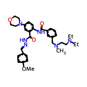 CCN(CC)CCN(C)Cc1cccc(C(=O)Nc2ccc(N3CCOCC3)cc2C(=O)N/N=C/c2ccc(OC)cc2)c1